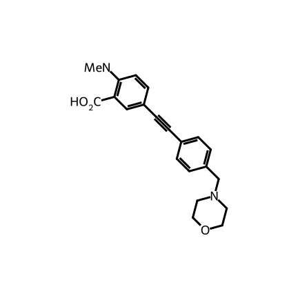 CNc1ccc(C#Cc2ccc(CN3CCOCC3)cc2)cc1C(=O)O